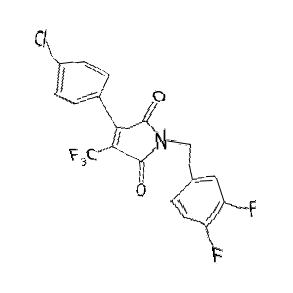 O=C1C(c2ccc(Cl)cc2)=C(C(F)(F)F)C(=O)N1Cc1ccc(F)c(F)c1